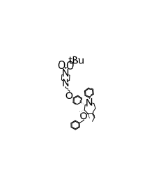 C/C=C1/CCN(c2ccccc2)[C@@H](c2ccc(OCCN3CCN(C(=O)OC(C)(C)C)CC3)cc2)[C@@H](C)C1(C)OCc1ccccc1